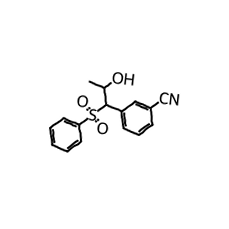 CC(O)C(c1cccc(C#N)c1)S(=O)(=O)c1ccccc1